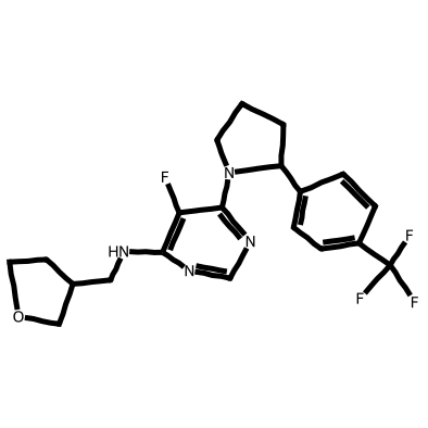 Fc1c(NCC2CCOC2)ncnc1N1CCCC1c1ccc(C(F)(F)F)cc1